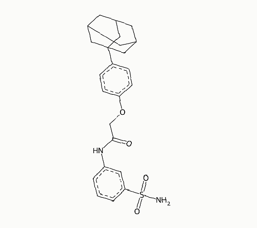 NS(=O)(=O)c1cccc(NC(=O)COc2ccc(C34CC5CC(CC(C5)C3)C4)cc2)c1